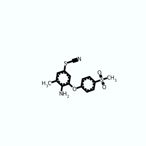 Cc1cc(SC#N)cc(Oc2ccc(S(C)(=O)=O)cc2)c1N